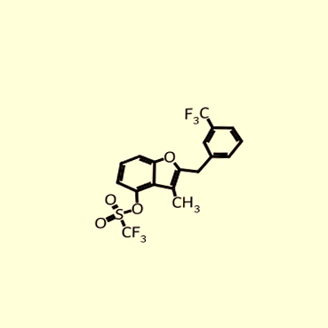 Cc1c(Cc2cccc(C(F)(F)F)c2)oc2cccc(OS(=O)(=O)C(F)(F)F)c12